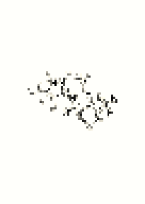 Cc1c(C(C)(C)C)n(C)n(CC2CC2)/c1=N/C(=O)c1cccc(C(F)(F)F)c1F